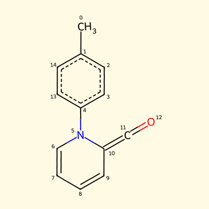 Cc1ccc(N2C=CC=CC2=C=O)cc1